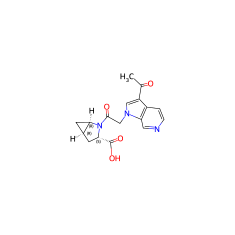 CC(=O)c1cn(CC(=O)N2[C@@H]3C[C@@H]3C[C@H]2C(=O)O)c2cnccc12